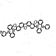 C1=CNCC(N2c3ccccc3B3c4ccc5c(ccc6c7ccc8c9c(ccc8c7oc56)B5c6ccccc6N(c6ccccc6)c6cccc(c65)O9)c4Oc4cccc2c43)=C1